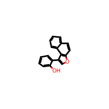 Oc1ccccc1-c1coc2ccc3ccccc3c12